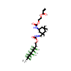 C=CC(=O)OCCOC(=O)NC1CC(C)(C)CC(C)(CNC(=O)OCCC(F)(F)C(F)(F)C(F)(F)C(F)(F)C(F)(F)C(F)(F)F)C1